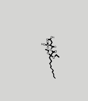 CCCCCCCCCCC(OCC)(OCC)C(=O)OC(=O)C(CC(=O)O)S(=O)(=O)O